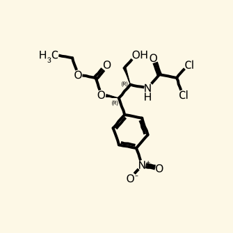 CCOC(=O)O[C@H](c1ccc([N+](=O)[O-])cc1)[C@@H](CO)NC(=O)C(Cl)Cl